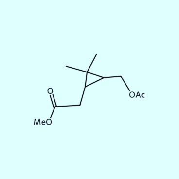 COC(=O)CC1C(COC(C)=O)C1(C)C